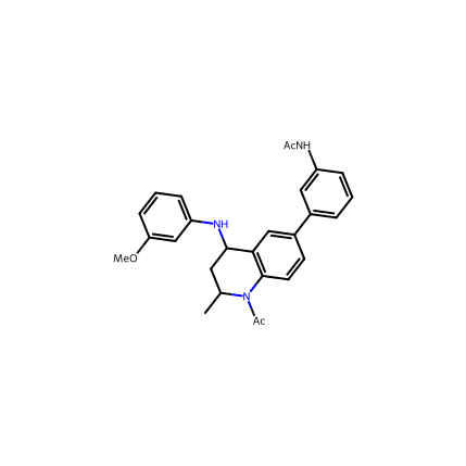 COc1cccc(NC2CC(C)N(C(C)=O)c3ccc(-c4cccc(NC(C)=O)c4)cc32)c1